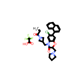 C=CC(=O)N1CC(CN2C(=O)C(CN3CCCC3)Oc3cc(-c4cccc5ccccc45)c(Cl)cc32)C1.O=C(O)C(F)(F)F